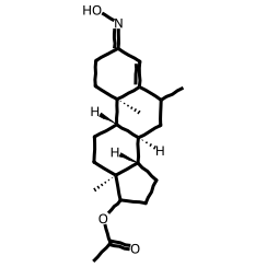 CC(=O)OC1CC[C@H]2[C@@H]3CC(C)C4=C/C(=N/O)CC[C@]4(C)[C@H]3CC[C@]12C